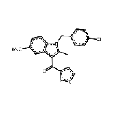 COc1ccc2c(c1)c(C(=O)c1ccon1)c(C)n2Cc1ccc(Cl)cc1